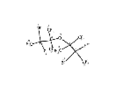 FC(F)(F)C(F)(Br)C(OC(C(F)(F)F)(C(F)(F)F)C(F)(Br)C(F)(F)F)(C(F)(F)F)C(F)(F)F